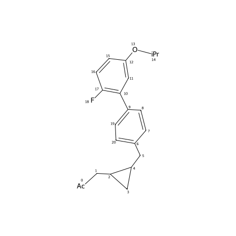 CC(=O)CC1CC1Cc1ccc(-c2cc(OC(C)C)ccc2F)cc1